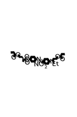 C=CC(=O)OCCN(CC)c1ccc(N=Nc2ccc(S(=O)(=O)N(C)CCOC(=O)C=C)cc2[N+](=O)[O-])cc1